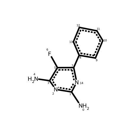 Nc1nc(N)c(F)c(-c2ccccc2)n1